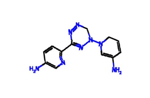 NC1=CN(N2CN=NC(c3ccc(N)cn3)=N2)CC=C1